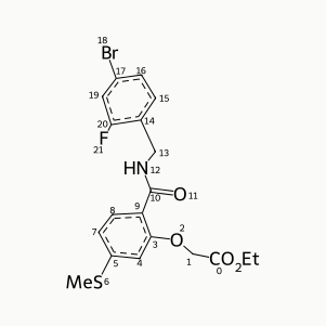 CCOC(=O)COc1cc(SC)ccc1C(=O)NCc1ccc(Br)cc1F